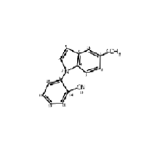 Cc1ccc2c(ccn2-c2ccccc2C#N)c1